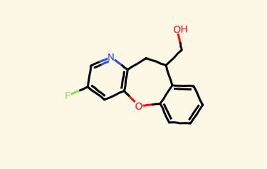 OCC1Cc2ncc(F)cc2Oc2ccccc21